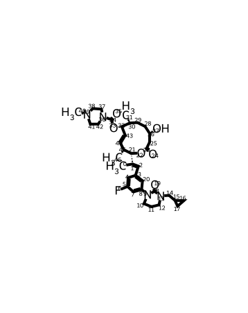 C/C(=C\c1cc(F)cc(N2CCCN(CC3CC3)C2=O)c1)[C@H]1OC(=O)C[C@H](O)CC[C@H](C)[C@@H](OC(=O)N2CCN(C)CC2)/C=C/[C@@H]1C